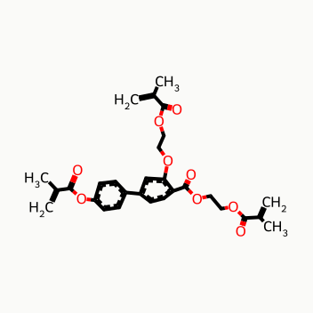 C=C(C)C(=O)OCCOC(=O)c1ccc(-c2ccc(OC(=O)C(=C)C)cc2)cc1OCCOC(=O)C(=C)C